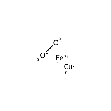 [Cu].[Fe+2].[O-][O-]